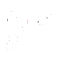 Cc1cc(NC(=O)C(=O)N2C[C@H](C)CC[C@H]2c2ccc3scnc3c2)cnc1N